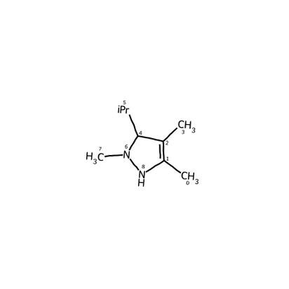 CC1=C(C)C(C(C)C)N(C)N1